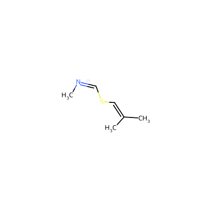 C/N=C\SC=C(C)C